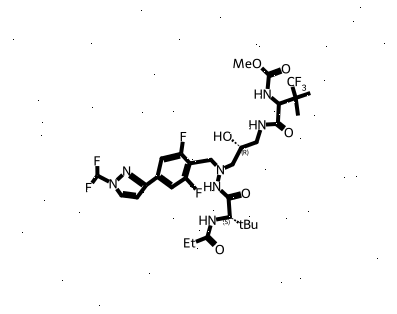 CCC(=O)N[C@H](C(=O)NN(Cc1c(F)cc(-c2ccn(C(F)F)n2)cc1F)C[C@H](O)CNC(=O)C(NC(=O)OC)C(C)(C)C(F)(F)F)C(C)(C)C